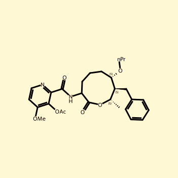 CCCO[C@H]1CCCC(NC(=O)c2nccc(OC)c2OC(C)=O)C(=O)O[C@@H](C)[C@@H]1Cc1ccccc1